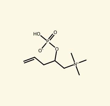 C=CCC(C[N+](C)(C)C)OP(=O)([O-])O